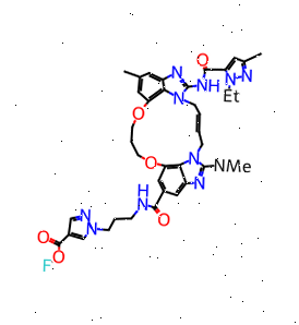 CCn1nc(C)cc1C(=O)Nc1nc2cc(C)cc3c2n1C/C=C/Cn1c(NC)nc2cc(C(=O)NCCCn4cc(C(=O)OF)cn4)cc(c21)OCCCO3